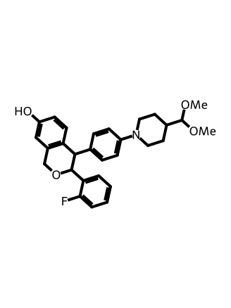 COC(OC)C1CCN(c2ccc(C3c4ccc(O)cc4COC3c3ccccc3F)cc2)CC1